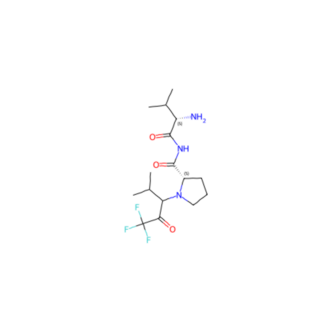 CC(C)C(C(=O)C(F)(F)F)N1CCC[C@H]1C(=O)NC(=O)[C@@H](N)C(C)C